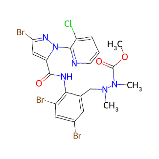 COC(=O)N(C)N(C)Cc1cc(Br)cc(Br)c1NC(=O)c1cc(Br)nn1-c1ncccc1Cl